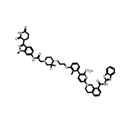 Cc1c(OCCC[C@H]2CCN(CC(=O)Nc3ccc4c(C5CCC(=O)NC5=O)nn(C)c4c3)CC2(F)F)cccc1-c1ccc(N2CCc3cccc(C(=O)Nc4nc5ccccc5s4)c3C2)nc1C(=O)O